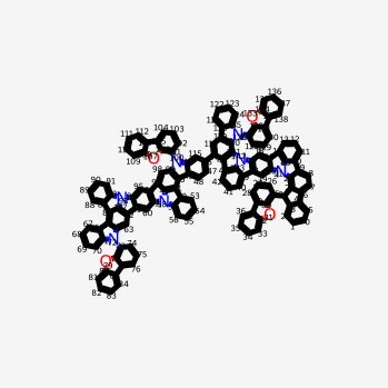 c1ccc2c(c1)-c1ccc3c4cccc5c6cc7c(cc6n(c3c1C2c1cccc2c1oc1ccccc12)c54)c1cccc2c3c(-c4ccc5c6c8c9ccccc9n9c%10cc%11c%12cc%13c(c%14ccccc%14n%13-c%13cccc%14c%13oc%13ccccc%13%14)c%13c%14ccccc%14n(c%11cc%10c(cc6n(-c6cccc%10c6oc6ccccc6%10)c5c4)c89)c%12%13)cc4c5ccccc5n(-c5cccc6c5oc5ccccc56)c4c3n7c12